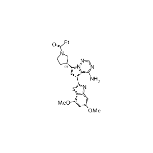 CCC(=O)N1CC[C@H](c2cc(-c3nc4cc(OC)cc(OC)c4s3)c3c(N)ncnn23)C1